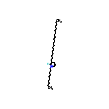 CCCCCCCCCCCCCCCCCCCCc1ccc[n+](CCCCCCCCCC)c1F